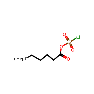 CCCCCCCCCCCC(=O)OS(=O)(=O)Cl